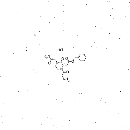 Cl.NCC(=O)N1CCN(CC(N)=O)C(=O)[C@@H]1CC(=O)OCc1ccccc1